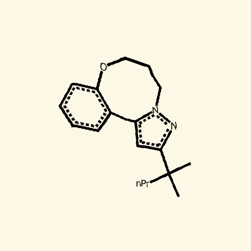 CCCC(C)(C)c1cc2n(n1)CCCOc1ccccc1-2